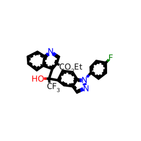 CCOC(=O)c1cnc2ccccc2c1C(O)(c1ccc2c(cnn2-c2ccc(F)cc2)c1)C(F)(F)F